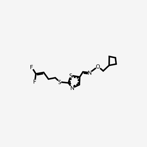 FC(F)=CCCSc1ncc(C=NOCC2CCC2)s1